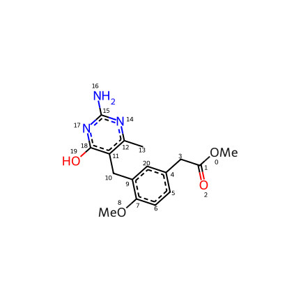 COC(=O)Cc1ccc(OC)c(Cc2c(C)nc(N)nc2O)c1